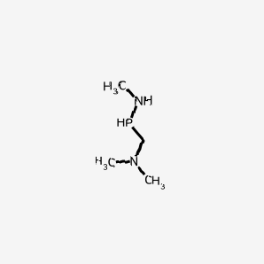 CNPCN(C)C